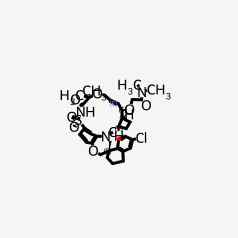 CN(C)C(=O)CO[C@@H]1/C=C/COC(C)(C)C(=O)NS(=O)(=O)c2ccc3c(c2)N(C[C@@H]2CC[C@H]21)C[C@@]1(CCCc2cc(Cl)ccc21)CO3